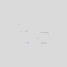 CCCCCCCCN(NO)c1ccccc1